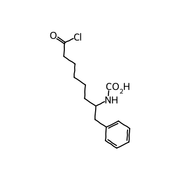 O=C(Cl)CCCCCC(Cc1ccccc1)NC(=O)O